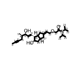 CC#CC[C@@H](C)[C@H](O)/C=C/[C@@H]1[C@H]2C/C(=C/COCC(=O)N(C(C)C)C(C)C)C[C@H]2C[C@H]1O